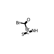 N=C=S.O=C(Br)Br